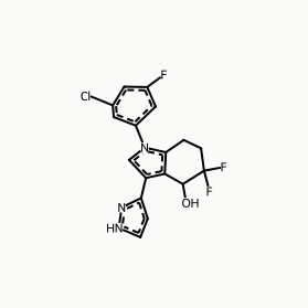 OC1c2c(-c3cc[nH]n3)cn(-c3cc(F)cc(Cl)c3)c2CCC1(F)F